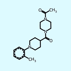 CC(=O)N1CCN(C(=O)C2CCN(c3ccccc3C)CC2)CC1